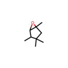 CC1C2OC2(C)CC1(C)C